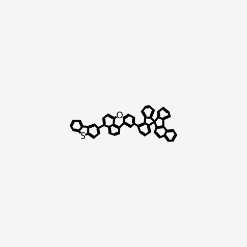 c1ccc2c(c1)-c1c(-c3ccc4c(c3)-c3cccc5c(-c6ccc7sc8ccccc8c7c6)ccc(c35)O4)cccc1C21c2ccccc2-c2c1ccc1ccccc21